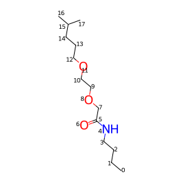 CCCCNC(=O)COCCOCCCC(C)C